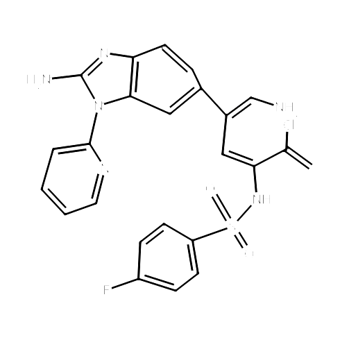 C=C(Cl)/C(=C\C(=C/N)c1ccc2nc(N)n(-c3ccccn3)c2c1)NS(=O)(=O)c1ccc(F)cc1